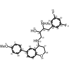 COc1ccc(-c2ccc3c(c2)C(NCC(O)C(Cc2cc(F)cc(F)c2)NC(C)=O)CCO3)cc1